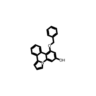 Oc1cc(OCc2ccccc2)c2c3ccccc3c3cccn3c2c1